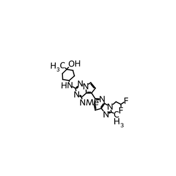 CNc1nc(NC2CCC(C)(O)CC2)nn2ccc(-c3ccc4nc(C)n(CC(F)F)c4n3)c12